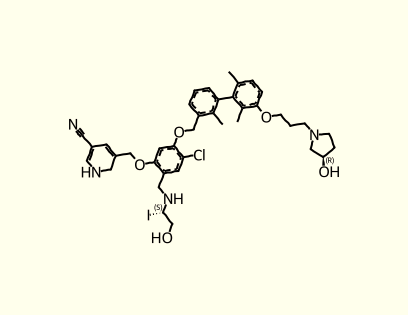 Cc1ccc(OCCCN2CC[C@@H](O)C2)c(C)c1-c1cccc(COc2cc(OCC3=CC(C#N)=CNC3)c(CN[C@@H](I)CO)cc2Cl)c1C